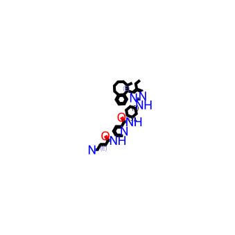 CCc1cnc(N[C@@H]2CCC[C@](C)(NC(=O)c3ccc(NC(=O)/C=C/CN(C)C)cn3)C2)nc1/C1=C(\C)CCCCc2ccccc21